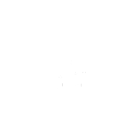 O=[As](O)(OS)Oc1ccccc1